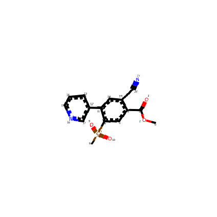 COC(=O)c1cc(S(C)(=O)=O)c(-c2cccnc2)cc1C#N